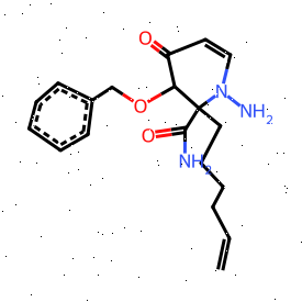 C=CCCCCC1(C(N)=O)C(OCc2ccccc2)C(=O)C=CN1N